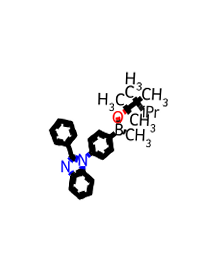 CB(OC(C)(C)C(C)(C)C(C)C)c1ccc(-n2c(-c3ccccc3)nc3ccccc32)cc1